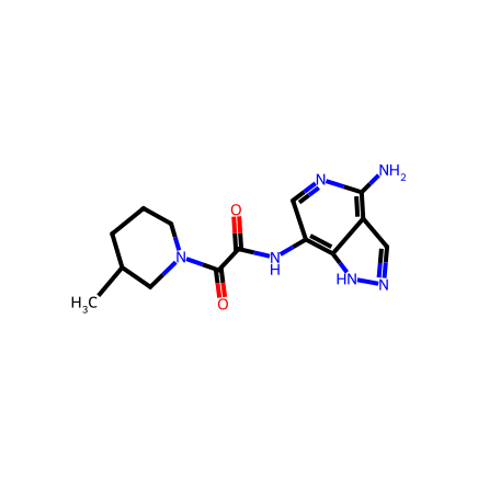 CC1CCCN(C(=O)C(=O)Nc2cnc(N)c3cn[nH]c23)C1